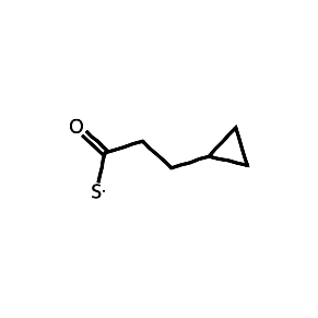 O=C([S])CCC1CC1